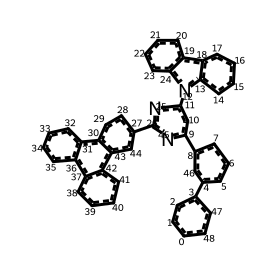 c1ccc(-c2cccc(-c3cc(-n4c5ccccc5c5ccccc54)nc(-c4ccc5c6ccccc6c6ccccc6c5c4)n3)c2)cc1